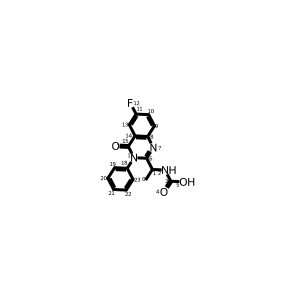 CC(NC(=O)O)c1nc2ccc(F)cc2c(=O)n1-c1ccccc1